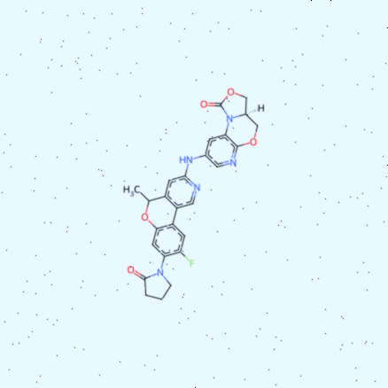 CC1Oc2cc(N3CCCC3=O)c(F)cc2-c2cnc(Nc3cnc4c(c3)N3C(=O)OC[C@H]3CO4)cc21